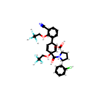 N#Cc1cccc(C2C=CC(OCC(F)(F)F)(C(=O)N3[C@@H](c4ccccc4Cl)CC[C@H]3C(=O)O)C=C2)c1OCC(F)(F)F